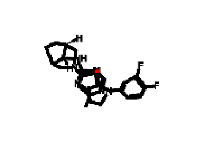 Cc1cc(N2CC3CC[C@@H](C2)[C@@H]3Nc2nc3n(n2)CCN3c2ccc(F)c(F)c2)ncn1